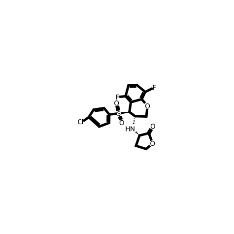 O=C1OCC[C@@H]1N[C@H]1COc2c(F)ccc(F)c2[C@@H]1S(=O)(=O)c1ccc(Cl)cc1